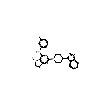 [O-][S+]1CCc2nc(N3CCC(c4noc5ccccc45)CC3)nc(Nc3cccc(F)c3)c21